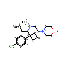 COCC(N(C)CCN1CCOCC1)C1(c2ccc(Cl)cc2)CCC1